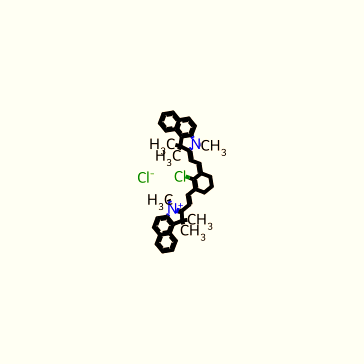 CN1/C(=C\C=C2\CCCC(/C=C/C3=[N+](C)c4ccc5ccccc5c4C3(C)C)=C2Cl)C(C)(C)c2c1ccc1ccccc21.[Cl-]